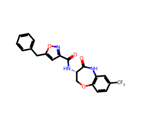 O=C(N[C@H]1COc2ccc(C(F)(F)F)cc2NC1=O)c1cc(Cc2ccccc2)on1